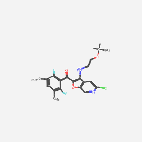 COc1cc(OC)c(F)c(C(=O)c2oc3cnc(Cl)cc3c2NCCO[Si](C)(C)C(C)(C)C)c1F